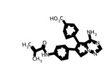 C=C(C)C(=O)Nc1ccc(-c2cn3ncnc(N)c3c2-c2ccc(C(=O)O)cc2)cc1